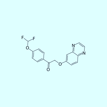 O=C(COc1ccc2nccnc2c1)c1ccc(OC(F)F)cc1